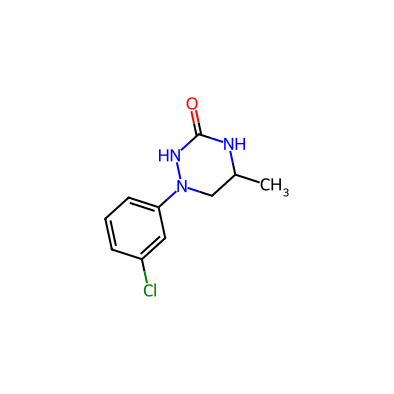 CC1CN(c2cccc(Cl)c2)NC(=O)N1